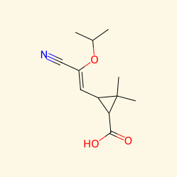 CC(C)OC(C#N)=CC1C(C(=O)O)C1(C)C